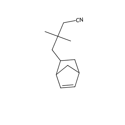 CC(C)(CC#N)CC1CC2C=CC1C2